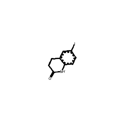 O=C1CCc2cc(I)ccc2N1